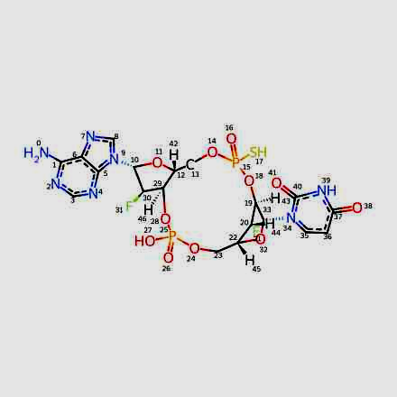 Nc1ncnc2c1ncn2[C@@H]1O[C@@H]2COP(=O)(S)O[C@@H]3[C@H](F)[C@@H](COP(=O)(O)O[C@H]2[C@H]1F)O[C@H]3n1ccc(=O)[nH]c1=O